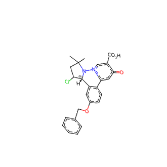 CC1(C)CC(Cl)[C@H]2c3cc(OCc4ccccc4)ccc3-c3cc(=O)c(C(=O)O)cn3N21